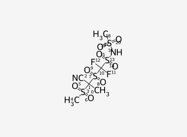 CC(C#N)(S(C)(=O)=O)S(=O)(=O)C(F)(F)S(=O)(=O)NS(C)(=O)=O